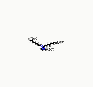 CCCCCCCCCCCCCCCCCC[n+]1ccn(CCCCCCCC)c1CCCCCCCCCCCCCCCCC